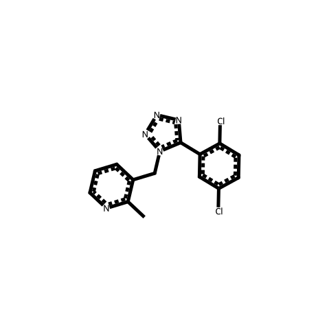 Cc1ncccc1Cn1nnnc1-c1cc(Cl)ccc1Cl